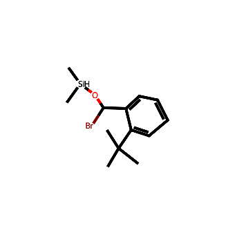 C[SiH](C)OC(Br)c1ccccc1C(C)(C)C